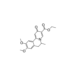 CCOC(=O)c1cn2c(cc1=O)-c1cc(OC)c(OC)cc1CC2C